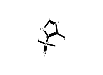 Cc1ncsc1P(C)(C)=O